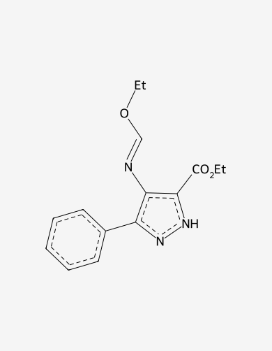 CCO/C=N/c1c(-c2ccccc2)n[nH]c1C(=O)OCC